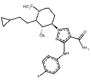 N#C[C@@H]1C(CCC2CC2)N(C(=O)O)CC[C@H]1n1cc(C(N)=O)c(Nc2ccc(F)cc2)n1